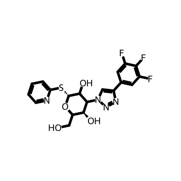 OCC1O[C@H](Sc2ccccn2)C(O)C(n2cc(-c3cc(F)c(F)c(F)c3)nn2)[C@H]1O